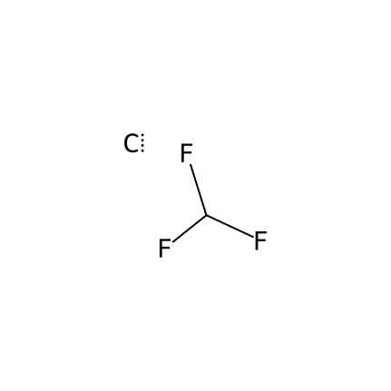 FC(F)F.[C]